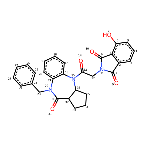 O=C1c2cccc(O)c2C(=O)N1CC(=O)N1c2ccccc2N(Cc2ccccc2)C(=O)C2CCCC21